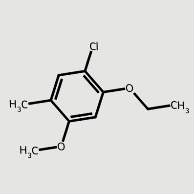 CCOc1cc(OC)c(C)cc1Cl